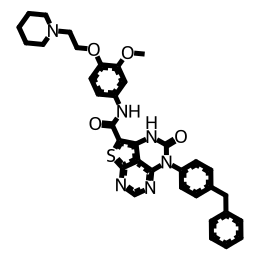 COc1cc(NC(=O)c2sc3ncnc4c3c2NC(=O)N4c2ccc(Cc3ccccc3)cc2)ccc1OCCN1CCCCC1